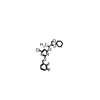 CC(Oc1cc(Cl)nc(SCc2cccc(F)c2F)n1)[C@H]1COC2(CCCCC2)O1